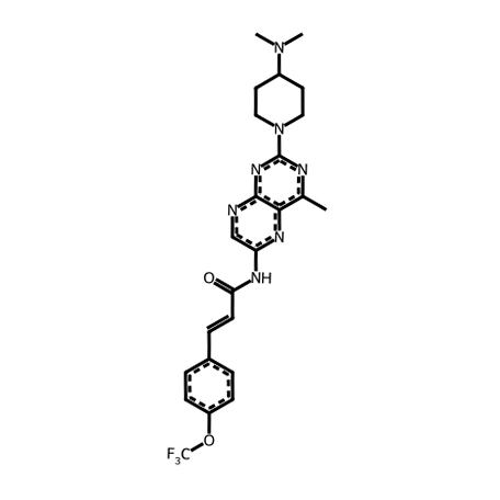 Cc1nc(N2CCC(N(C)C)CC2)nc2ncc(NC(=O)C=Cc3ccc(OC(F)(F)F)cc3)nc12